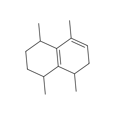 CC1=CCC(C)C2=C1C(C)CCC2C